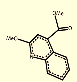 COC(=O)c1cc(OC)nc2ccccc12